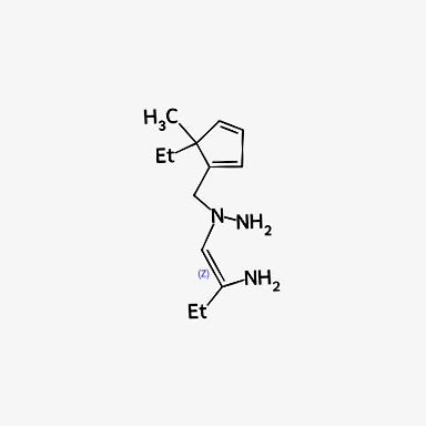 CC/C(N)=C/N(N)CC1=CC=CC1(C)CC